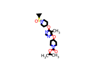 Cc1c(OC2CCN(C(=O)OC(C)C)CC2)ncnc1OC1CCN([S+]([O-])C2CC2)CC1